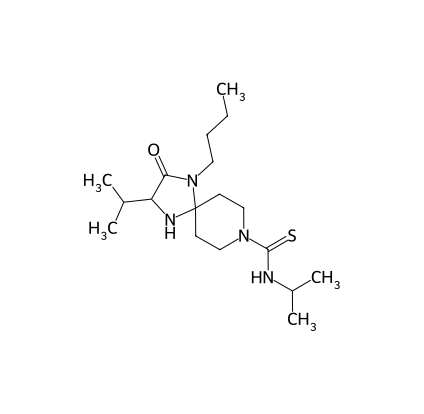 CCCCN1C(=O)C(C(C)C)NC12CCN(C(=S)NC(C)C)CC2